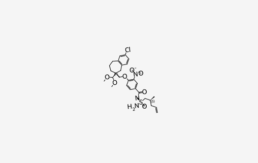 C=CC[C@H](C)CS(N)(=O)=NC(=O)c1ccc(OC[C@@]2(C(OC)OC)CCCc3cc(Cl)ccc3C2)c([N+](=O)[O-])c1